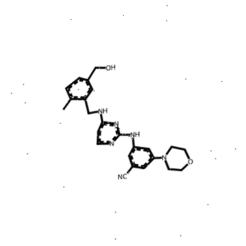 Cc1ccc(CO)cc1CNc1ccnc(Nc2cc(C#N)cc(N3CCOCC3)c2)n1